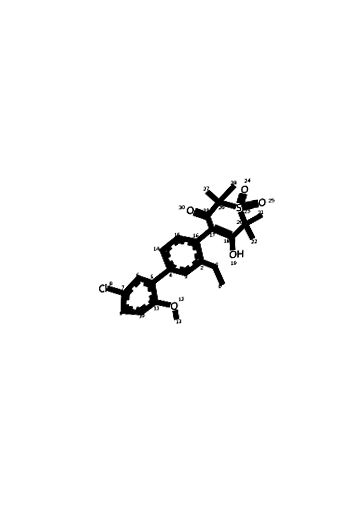 CCc1cc(-c2cc(Cl)ccc2OC)ccc1C1=C(O)C(C)(C)S(=O)(=O)C(C)(C)C1=O